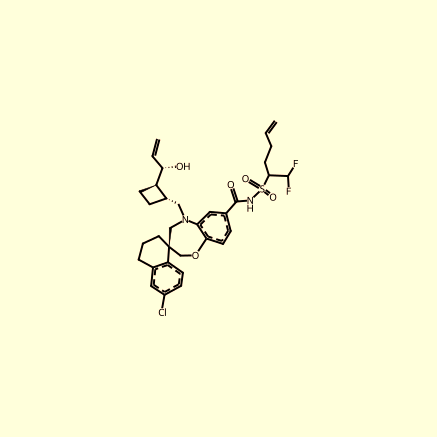 C=CCCC(C(F)F)S(=O)(=O)NC(=O)c1ccc2c(c1)N(C[C@@H]1CC[C@H]1[C@@H](O)C=C)C[C@@]1(CCCc3cc(Cl)ccc31)CO2